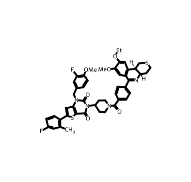 CCOc1cc2c(cc1OC)C(c1ccc(C(=O)N3CCC(n4c(=O)c5sc(-c6ccc(F)cc6C)cc5n(Cc5ccc(OC)c(F)c5)c4=O)CC3)cc1)=N[C@@H]1CCSC[C@H]21